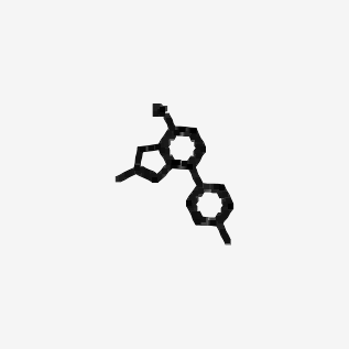 CC1=Cc2c(-c3ccc(C)cc3)ccc(Br)c2C1